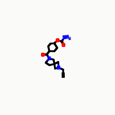 C#CCN1CC2(CCN(C(=O)C3CCC(OC(N)=O)CC3)C2)C1